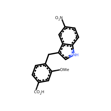 COc1cc(C(=O)O)ccc1Cc1c[nH]c2ccc([N+](=O)[O-])cc12